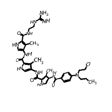 CCCN(CCCl)c1ccc(C(=O)Nc2c[nH]c(C(=O)Nc3c[nH]c(C(=O)Nc4c[nH]c(C(=O)NCCNC(=N)N)c4C)c3C)c2C)cc1